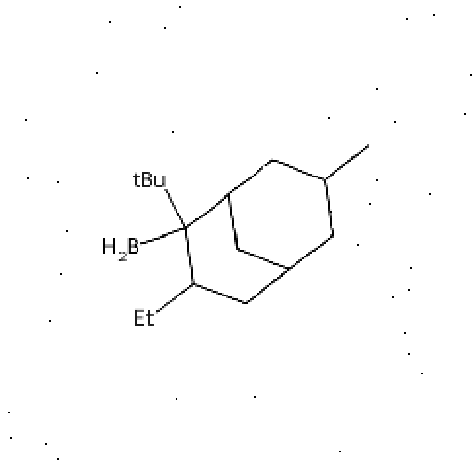 BC1(C(C)(C)C)C(CC)CC2CC(C)CC1C2